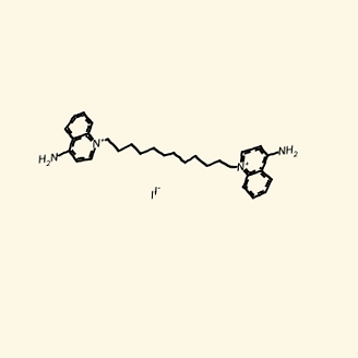 Nc1cc[n+](CCCCCCCCCCCC[n+]2ccc(N)c3ccccc32)c2ccccc12.[I-].[I-]